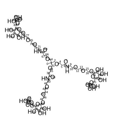 CC(COCCC(=O)NCCOCCOCCOC1OC(COP(=O)(O)O)C(O)C(O)C1O)(COCCC(=O)NCCOCCOCCOC1OC(COP(=O)(O)O)C(O)C(O)C1O)COCCC(=O)NCCOCCOCCOC1O[C@@H](COP(=O)(O)O)C(O)C(O)C1O